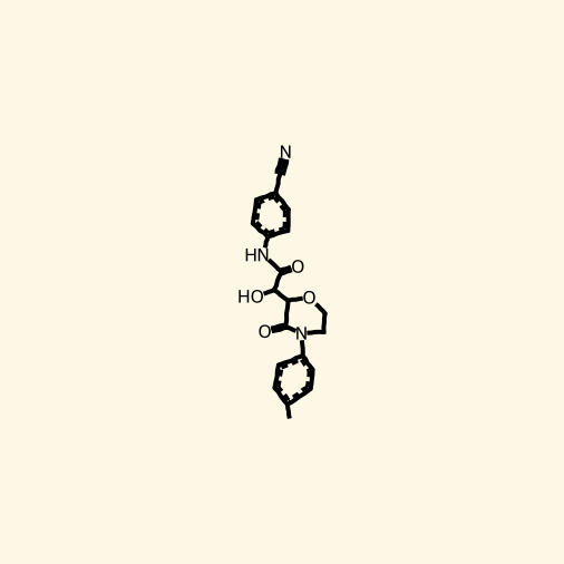 Cc1ccc(N2CCOC(C(O)C(=O)Nc3ccc(C#N)cc3)C2=O)cc1